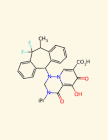 CC(C)N1CN(C2c3ccccc3C(C)C(F)(F)c3ccccc32)n2cc(C(=O)O)c(=O)c(O)c2C1=O